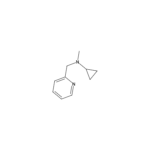 CN(Cc1ccccn1)C1CC1